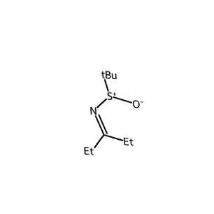 CCC(CC)=N[S+]([O-])C(C)(C)C